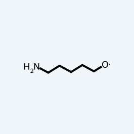 NCCCCC[O]